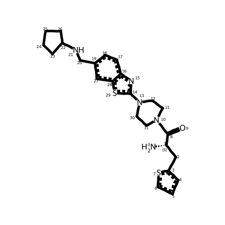 N[C@@H](Cc1cccs1)C(=O)N1CCN(c2nc3ccc(CNC4CCCC4)cc3s2)CC1